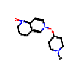 CC(C)N1CCC(ON2C=CC34CCCC[N+]3([O-])CCCC4=C2)CC1